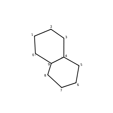 [CH]1CCC[C]2CCCCC12